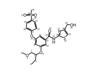 CCC(COC)Oc1cc(Oc2ccc(S(C)(=O)=O)cc2)cc(C(=O)Nc2nc(CO)cs2)c1